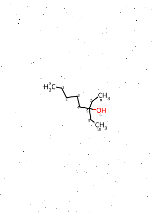 [CH2]CCCCC(O)(CC)CC